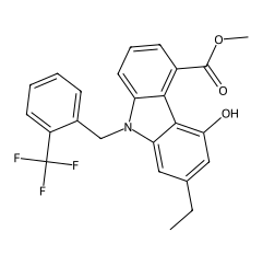 CCc1cc(O)c2c3c(C(=O)OC)cccc3n(Cc3ccccc3C(F)(F)F)c2c1